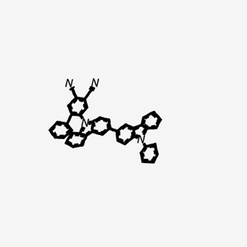 N#Cc1cc(-c2ccccc2)c(-n2c3ccccc3c3cc(-c4ccc5c(c4)c4ccccc4n5-c4ccccc4)ccc32)cc1C#N